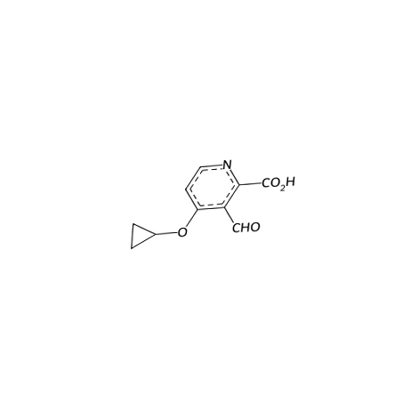 O=Cc1c(OC2CC2)ccnc1C(=O)O